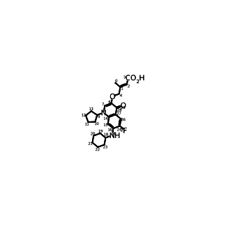 C/C(=C\C(=O)O)COc1cn(C2CCCC2)c2cc(NC3CCCCC3)c(F)cc2c1=O